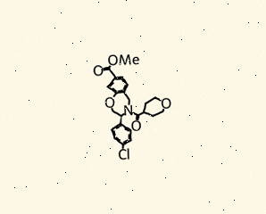 COC(=O)c1ccc2c(c1)OC[C@H](c1ccc(Cl)cc1)N(C(=O)C1CCOCC1)C2